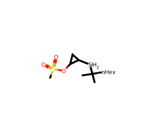 CCCCCCC(C)(C)[SiH2]C1CC1OS(C)(=O)=O